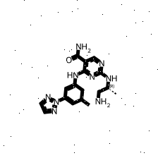 CC1C=C(n2nccn2)C=C(Nc2nc(N[C@H](C)CN)ncc2C(N)=O)C1